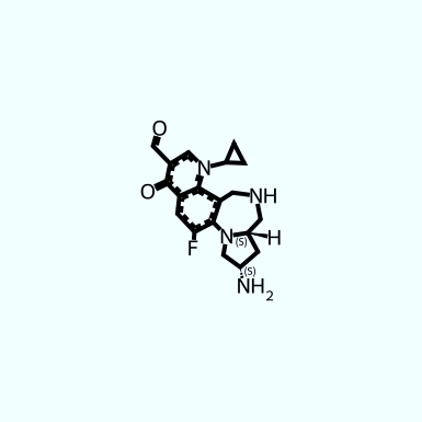 N[C@H]1C[C@H]2CNCc3c(c(F)cc4c(=O)c(C=O)cn(C5CC5)c34)N2C1